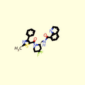 Cc1nc(-c2ccccc2)c(C(=O)N2CCC(F)(F)C[C@H]2CNC(=O)c2cccc3cccnc23)s1